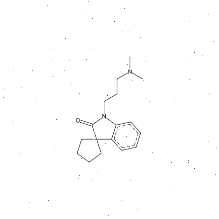 CN(C)CCCN1C(=O)C2(CCCC2)c2ccccc21